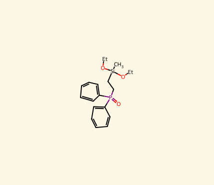 CCO[Si](C)(CCP(=O)(c1ccccc1)c1ccccc1)OCC